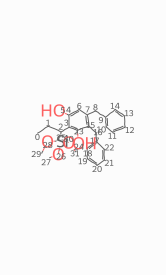 CCC(c1c(O)cc(Cc2ccccc2)c(Cc2ccccc2)c1O)[Si](OC)(OC)OC